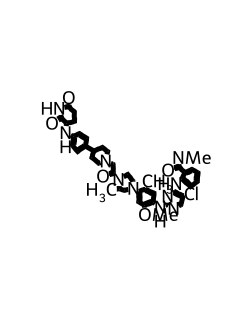 CNC(=O)c1ccccc1Nc1nc(Nc2cc(C)c(N3CCN(C(=O)CN4CCC(c5ccc(NC6CCC(=O)NC6=O)cc5)CC4)C(C)C3)cc2OC)ncc1Cl